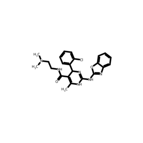 CC1=C(C(=O)NCCN(C)C)C(c2ccccc2Cl)N=C(Nc2nc3ccccc3o2)N1